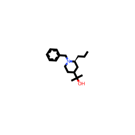 CCC[C@H]1CC(C(C)(C)O)CCN1Cc1ccccc1